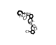 C[C@H]1c2cccc(C(=O)Nc3ccccn3)c2CCN1C(=O)Cc1c(Cl)cccc1Cl